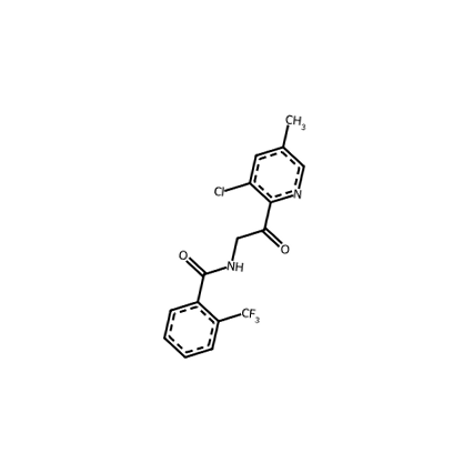 Cc1cnc(C(=O)CNC(=O)c2ccccc2C(F)(F)F)c(Cl)c1